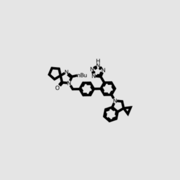 CCCCC1=NC2(CCCC2)C(=O)N1Cc1ccc(-c2cc(N3CC4(CC4)c4ccccc43)ccc2-c2nn[nH]n2)cc1